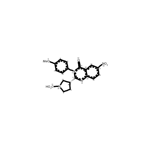 COc1ccc(-n2c([C@@H]3CCN(C(=O)O)C3)nc3ccc([N+](=O)[O-])cc3c2=O)cc1